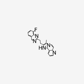 CC1=C(CCc2ncc3cccc(F)c3n2)NC2c3cccnc3C=CN12